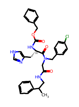 CC(CNC(=O)CN(Cc1ccc(Cl)cc1)C(=O)[C@H](Cc1c[nH]cn1)NC(=O)OCc1ccccc1)c1ccccc1